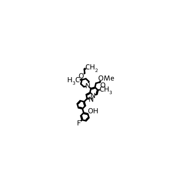 C=CCOC1(C)CCN(c2c(CC(=O)OC)c(C)cn3nc(-c4cccc(-c5cc(F)ccc5O)c4)cc23)CC1